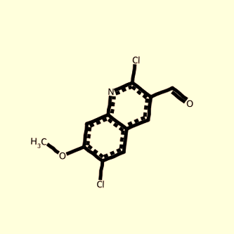 COc1cc2nc(Cl)c(C=O)cc2cc1Cl